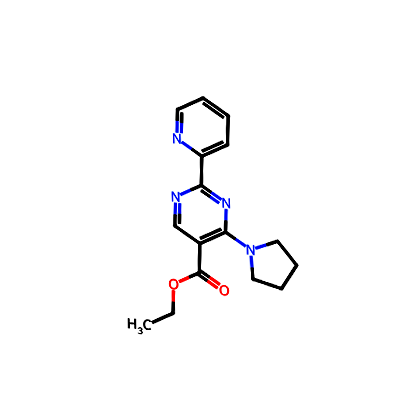 CCOC(=O)c1cnc(-c2ccccn2)nc1N1CCCC1